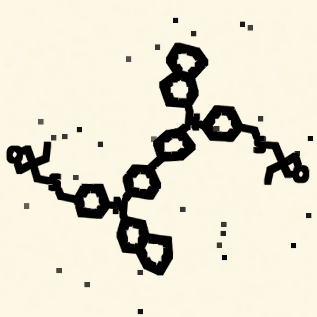 CCC1(CSCc2ccc(N(c3ccc(-c4ccc(N(c5ccc(CSCC6(CC)COC6)cc5)c5ccc6ccccc6c5)cc4)cc3)c3ccc4ccccc4c3)cc2)COC1